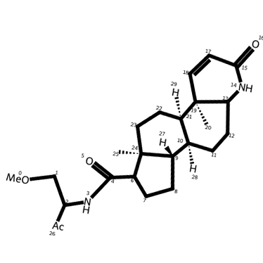 COCC(NC(=O)C1CC[C@H]2[C@@H]3CCC4NC(=O)C=C[C@]4(C)[C@@H]3CC[C@]12C)C(C)=O